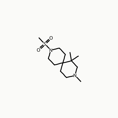 CN1CCC2(CCN(S(C)(=O)=O)CC2)C(C)(C)C1